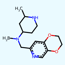 BN(Cc1cc2c(cn1)OCCO2)C1CCNC(C)C1